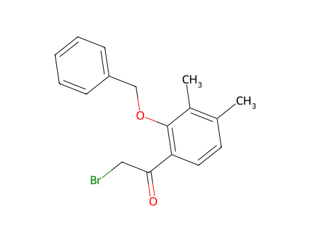 Cc1ccc(C(=O)CBr)c(OCc2ccccc2)c1C